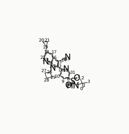 CC(C)(C)NS(=O)(=O)c1ccc(-c2c(C#N)c3cc(C4CC4)cnc3n2C2CCC2)nc1